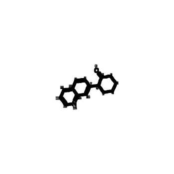 O=C1CCCCC1c1ccc2cccnc2c1